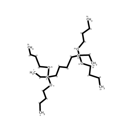 CCCCO[Si](CC)(CCCC[Si](CC)(OCCCC)OCCCC)OCCCC